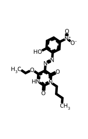 CCCCn1c(=O)[nH]c(OCC)c(/N=N/c2cc([N+](=O)[O-])ccc2O)c1=O